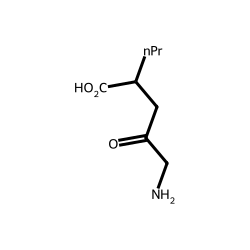 CCCC(CC(=O)CN)C(=O)O